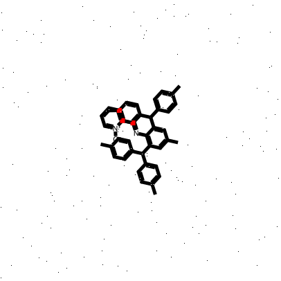 Cc1ccc(C(c2ccc(C)cc2)c2cc(C)cc(C(c3ccc(C)cc3)c3ccc(C)cc3)c2N=Cc2cccc[n+]2[O-])cc1